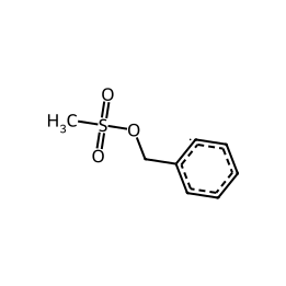 CS(=O)(=O)OCc1[c]cccc1